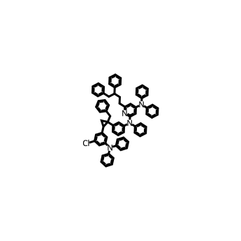 Clc1cc(C2CC2(Cc2ccccc2)c2cccc(N(c3ccccc3)c3cc(N(c4ccccc4)c4ccccc4)cc(CCC(Cc4ccccc4)c4ccccc4)n3)c2)cc(N(c2ccccc2)c2ccccc2)c1